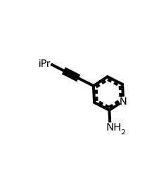 CC(C)C#Cc1ccnc(N)c1